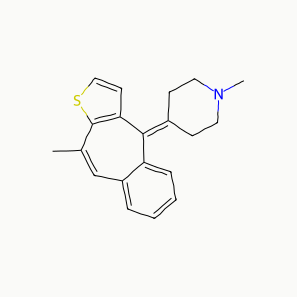 CC1=Cc2ccccc2C(=C2CCN(C)CC2)c2ccsc21